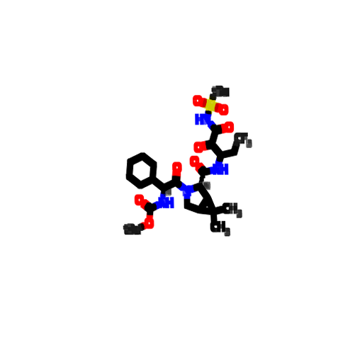 CC(C)(C)OC(=O)N[C@H](C(=O)N1CC2C([C@H]1C(=O)NC(CC(F)(F)F)C(=O)C(=O)NS(=O)(=O)C(C)(C)C)C2(C)C)C1CCCCC1